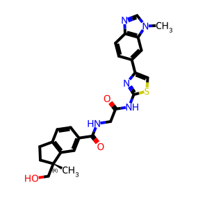 Cn1cnc2ccc(-c3csc(NC(=O)CNC(=O)c4ccc5c(c4)[C@](C)(CO)CC5)n3)cc21